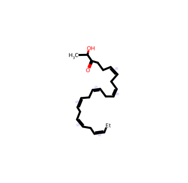 CC/C=C\C/C=C\C/C=C\C/C=C\C/C=C\C/C=C\CCC(=O)C(C)O